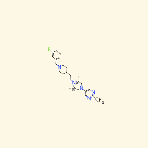 C[C@@H]1CN(c2cnc(C(F)(F)F)nc2)C[C@H](C)N1CCC1CCN(Cc2cccc(F)c2)CC1